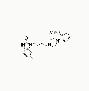 COc1ccccc1N1CCN(CCCCn2c(=O)[nH]c3ccc(C)cc32)CC1